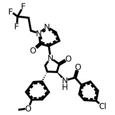 COc1ccc([C@@H]2CN(c3ccnn(CCC(F)(F)F)c3=O)C(=O)[C@H]2NC(=O)c2ccc(Cl)cc2)cc1